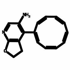 Nc1cnc2c(c1-c1ccccccccc1)CCO2